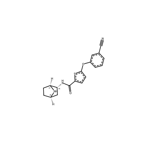 N#Cc1cccc(Oc2ccc(C(=O)N[C@@H]3C[C@H]4CC[C@@H]3N4)s2)c1